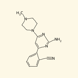 CN1CCN(c2cc(-c3ccccc3C#N)nc(N)n2)CC1